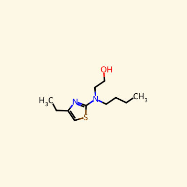 CCCCN(CCO)c1nc(CC)cs1